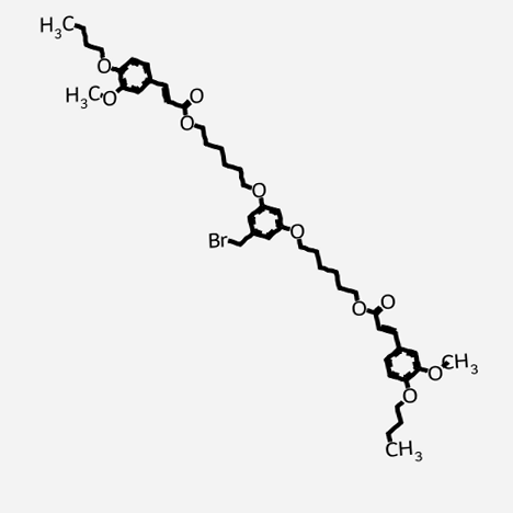 CCCCOc1ccc(/C=C/C(=O)OCCCCCCOc2cc(CBr)cc(OCCCCCCOC(=O)/C=C/c3ccc(OCCCC)c(OC)c3)c2)cc1OC